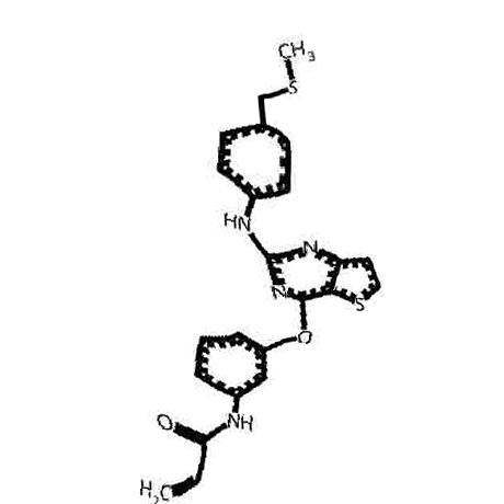 C=CC(=O)Nc1cccc(Oc2nc(Nc3ccc(CSC)cc3)nc3ccsc23)c1